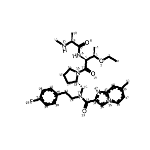 CCO[C@H](C)[C@H](NC(=O)[C@H](C)NC)C(=O)N1CCC[C@H]1CN(CCc1ccc(F)cc1)C(=O)c1cn2ccc(C)cc2n1